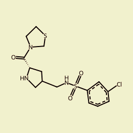 O=C([C@@H]1CC(CNS(=O)(=O)c2cccc(Cl)c2)CN1)N1CCSC1